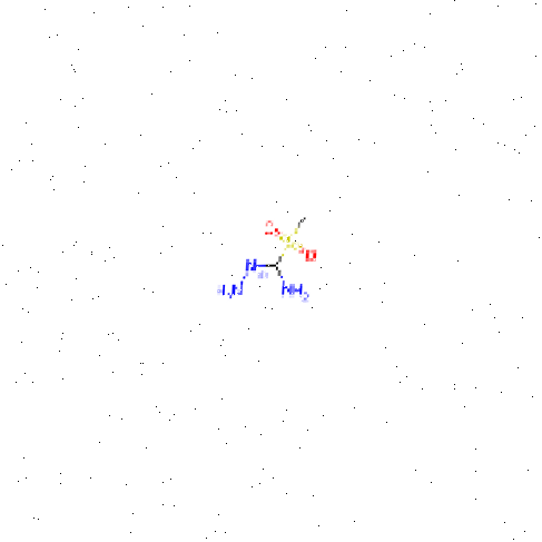 CS(=O)(=O)/C(N)=N/N